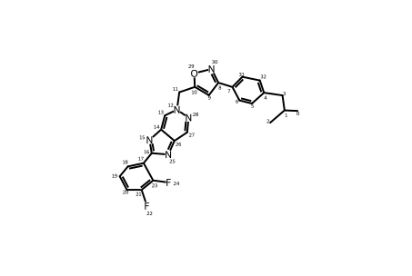 CC(C)Cc1ccc(-c2cc(Cn3cc4nc(-c5cccc(F)c5F)nc-4cn3)on2)cc1